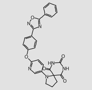 O=C1NC(=O)C2(CCCN2c2ccc(Oc3ccc(-c4noc(-c5ccccc5)n4)cc3)nc2)C(=O)N1